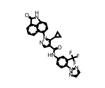 O=C(Nc1ccc(-n2nccn2)c(C(F)(F)F)c1)c1cnn(-c2ccc3c4c(cccc24)C(=O)N3)c1C1CC1